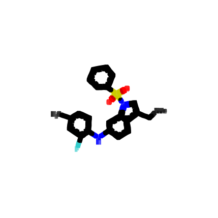 CNCc1cn(S(=O)(=O)c2ccccc2)c2cc(Nc3ccc(C)cc3F)ccc12